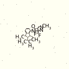 CCC1c2c(NC(=O)c3cn(C)nc3C(F)F)cccc2C(C)C1C(C)C